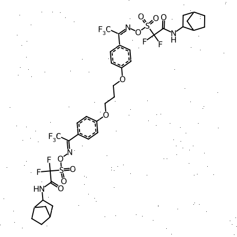 O=C(NC1CC2CCC1C2)C(F)(F)S(=O)(=O)ON=C(c1ccc(OCCCOc2ccc(C(=NOS(=O)(=O)C(F)(F)C(=O)NC3CC4CCC3C4)C(F)(F)F)cc2)cc1)C(F)(F)F